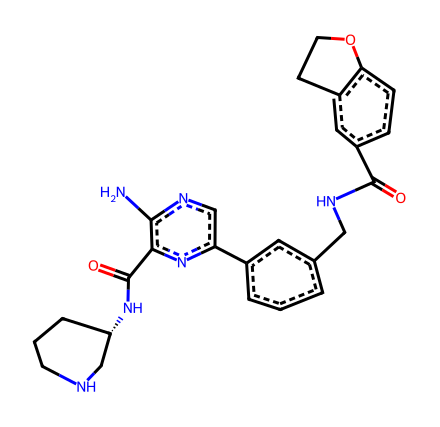 Nc1ncc(-c2cccc(CNC(=O)c3ccc4c(c3)CCO4)c2)nc1C(=O)N[C@H]1CCCNC1